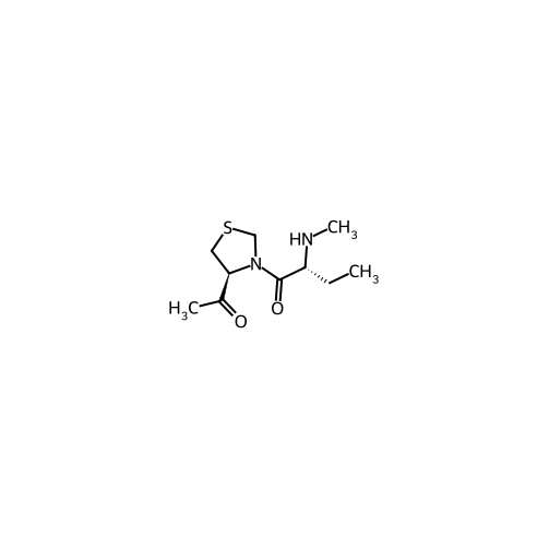 CC[C@@H](NC)C(=O)N1CSC[C@@H]1C(C)=O